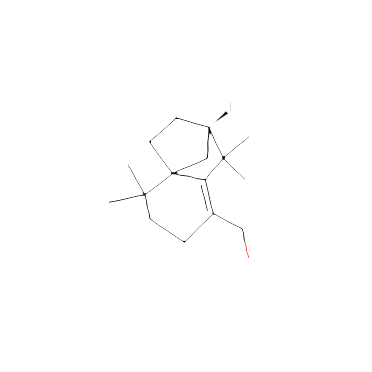 CC1(C)C2=C(CO)CCC(C)(C)C23CC[C@H]1C3